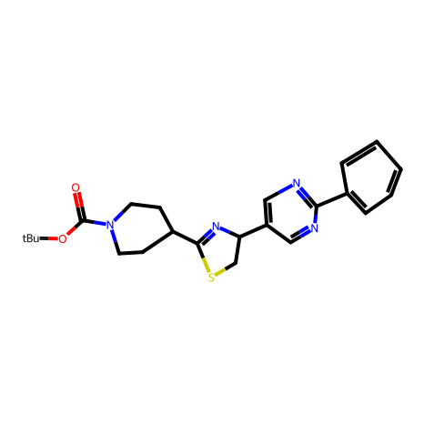 CC(C)(C)OC(=O)N1CCC(C2=NC(c3cnc(-c4ccccc4)nc3)CS2)CC1